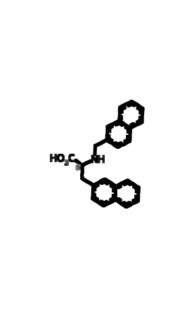 O=C(O)[C@H](Cc1ccc2ccccc2c1)NCc1ccc2ccccc2c1